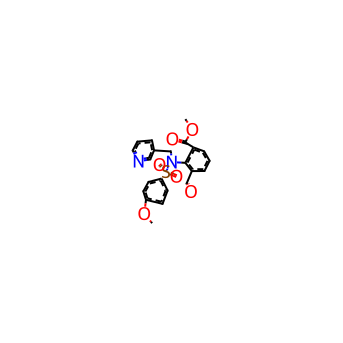 COC(=O)c1cccc(C=O)c1N(Cc1cccnc1)S(=O)(=O)c1ccc(OC)cc1